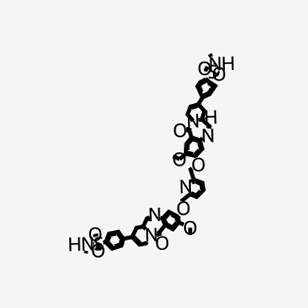 CNS(=O)(=O)c1ccc(C2=CCN3C(=O)c4cc(OC)c(OCc5cccc(COc6cc7c(cc6OC)C(=O)N6CC=C(c8ccc(S(=O)(=O)NC)cc8)C[C@H]6C=N7)n5)cc4N=CC3C2)cc1